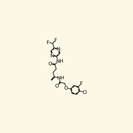 C=C(CCC(=O)Nc1cnc(C(F)F)cn1)NC(=O)COc1ccc(Cl)c(F)c1